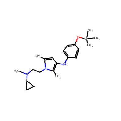 Cc1c(Nc2ccc(O[Si](C)(C)C(C)(C)C)cc2)cc(C#N)n1CCN(C)C1CC1